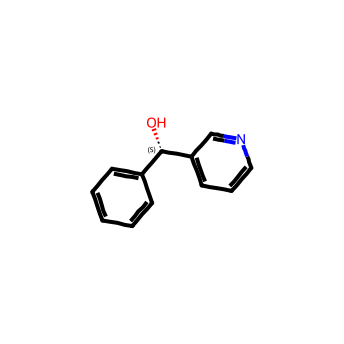 O[C@@H](c1ccccc1)c1cccnc1